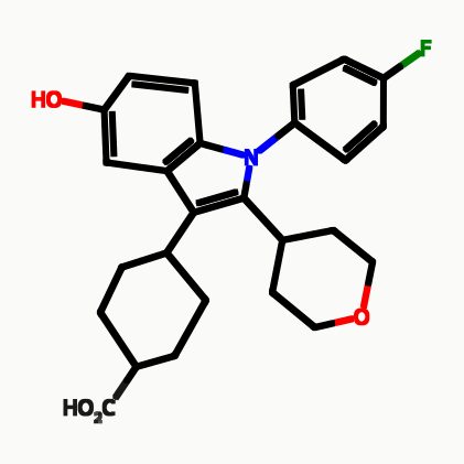 O=C(O)C1CCC(c2c(C3CCOCC3)n(-c3ccc(F)cc3)c3ccc(O)cc23)CC1